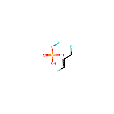 FC=CCF.O=P(O)(O)OF